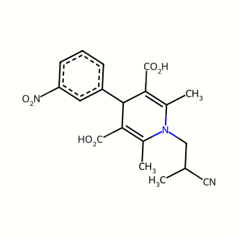 CC1=C(C(=O)O)C(c2cccc([N+](=O)[O-])c2)C(C(=O)O)=C(C)N1CC(C)C#N